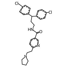 O=C(NCCC(c1ccc(Cl)cc1)c1ccc(Cl)cc1)c1ccc(CCN2CCCC2)nc1